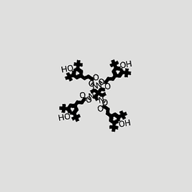 CC(=NOC(=O)CCc1cc(C(C)(C)C)c(O)c(C(C)(C)C)c1)C(C(C)=NOC(=O)CCc1cc(C(C)(C)C)c(O)c(C(C)(C)C)c1)(C(C)=NOC(=O)CCc1cc(C(C)(C)C)c(O)c(C(C)(C)C)c1)C(C)=NOC(=O)CCc1cc(C(C)(C)C)c(O)c(C(C)(C)C)c1